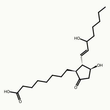 CCCCCC(O)C=C[C@H]1[C@H](CCCCCCCC(=O)O)C(=O)C[C@@H]1O